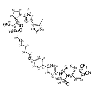 Cc1ncsc1-c1cn(C)c(C2CCCN2C(=O)C(NC(=O)COCCCCOc2ccc(-c3ccc(N4C(=S)N(c5ccc(C#N)c(C(F)(F)F)c5F)C(=O)C4(C)C)cn3)cc2)C(C)(C)C)n1